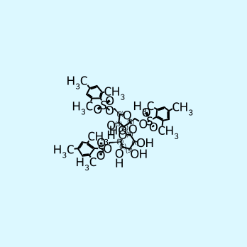 Cc1cc(C)c(S(=O)(=O)OC[C@H]2O[C@](COS(=O)(=O)c3c(C)cc(C)cc3C)(O[C@@H]3O[C@H](COS(=O)(=O)c4c(C)cc(C)cc4C)[C@@H](O)[C@H](O)[C@H]3O)[C@@H](O)[C@@H]2O)c(C)c1